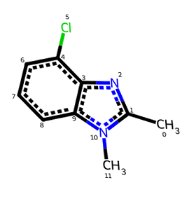 Cc1nc2c(Cl)cccc2n1C